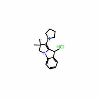 CC1C2=C(N3CCCC3)C(C)(C)CN2c2ccccc21.Cl